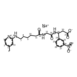 Cc1ccnc(NCCCCCC(=O)NCC(=O)NC(CC(=O)[O-])c2cccc([N+](=O)[O-])c2)c1.[Na+]